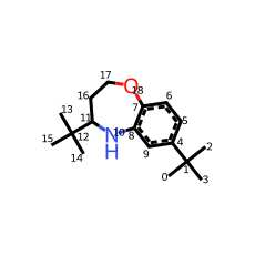 CC(C)(C)c1ccc2c(c1)NC(C(C)(C)C)CCO2